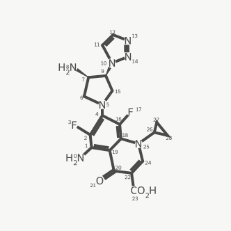 Nc1c(F)c(N2C[C@@H](N)[C@@H](n3ccnn3)C2)c(F)c2c1c(=O)c(C(=O)O)cn2C1CC1